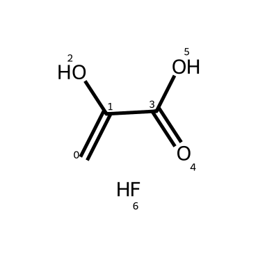 C=C(O)C(=O)O.F